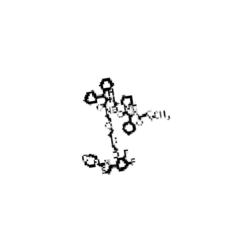 CNCC(=O)NC(C(=O)N1CCC[C@H]1C(=O)N[C@H](C(=O)NCCOCCOCCOc1c(-c2csc(N3CCOCC3)n2)ccc(F)c1F)C(c1ccccc1)c1ccccc1)C1CCCCC1